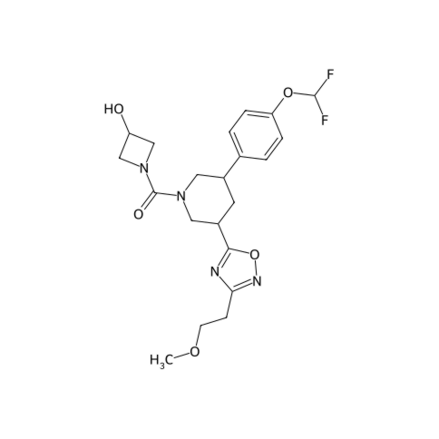 COCCc1noc(C2CC(c3ccc(OC(F)F)cc3)CN(C(=O)N3CC(O)C3)C2)n1